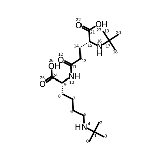 CC(C)(C)NCCCC[C@@H](NC(=O)CC[C@@H](NC(C)(C)C)C(=O)O)C(=O)O